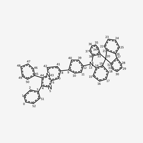 c1ccc(-c2nc3cc(-c4ccc(N5c6ccccc6C6(c7ccccc7-c7ccccc76)c6ccccc65)cc4)ccn3c2-c2ccccc2)cc1